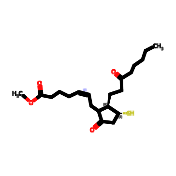 CCCCCC(=O)CC[C@@H]1C(C/C=C\CCCC(=O)OC)C(=O)C[C@H]1S